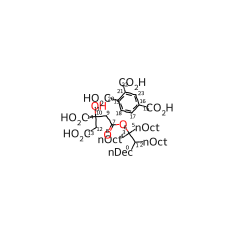 CCCCCCCCCCC(CCCCCCCC)C(CCCCCCCC)(CCCCCCCC)OC(=O)CC(O)(CC(=O)O)C(=O)O.O=C(O)c1ccc(C(=O)O)c(C(=O)O)c1